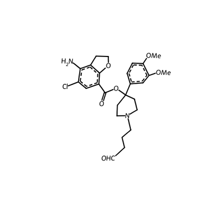 COc1ccc(C2(OC(=O)c3cc(Cl)c(N)c4c3OCC4)CCN(CCCC=O)CC2)cc1OC